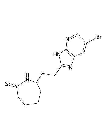 S=C1CCCCC(CCc2nc3cc(Br)cnc3[nH]2)N1